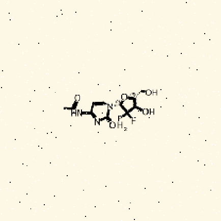 CC(=O)Nc1ccn([C@@H]2O[C@H](CO)C(O)C2(F)P)c(=O)n1